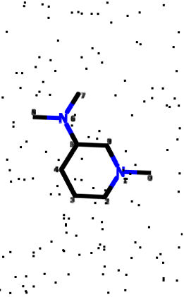 CN1CCCC(N(C)C)C1